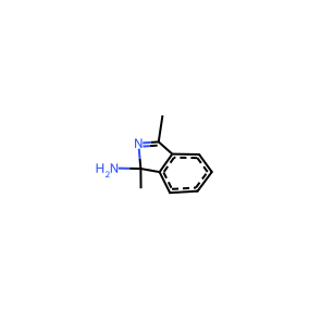 CC1=NC(C)(N)c2ccccc21